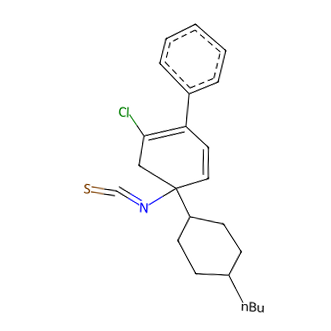 CCCCC1CCC(C2(N=C=S)C=CC(c3ccccc3)=C(Cl)C2)CC1